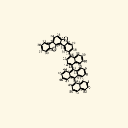 c1ccc2c(-c3c4ccccc4c(-c4ccc(-c5ccc6oc7ccc8c9ccccc9oc8c7c6c5)c5ccccc45)c4ccccc34)cccc2c1